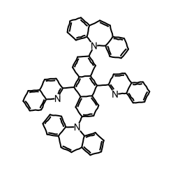 C1=Cc2ccccc2N(c2ccc3c(-c4ccc5ccccc5n4)c4cc(N5c6ccccc6C=Cc6ccccc65)ccc4c(-c4ccc5ccccc5n4)c3c2)c2ccccc21